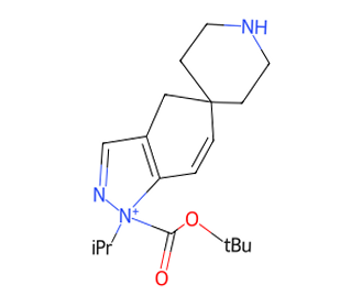 CC(C)[N+]1(C(=O)OC(C)(C)C)N=CC2=C1C=CC1(CCNCC1)C2